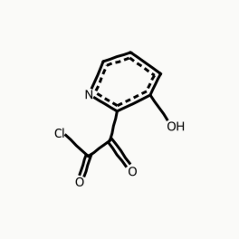 O=C(Cl)C(=O)c1ncccc1O